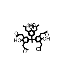 CC(O)Cc1cc(C(C)(c2cc(CC3CO3)c(O)c(CC3CO3)c2)c2cc(CC3CO3)c(O)c(CC3CO3)c2)cc(CC(C)O)c1O